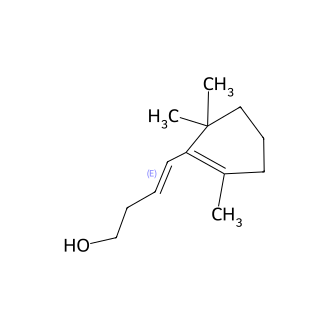 CC1=C(/C=C/CCO)C(C)(C)CCC1